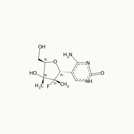 C[C@]1(F)[C@@H](c2c[nH]c(=O)nc2N)O[C@H](CO)[C@@]1(C)O